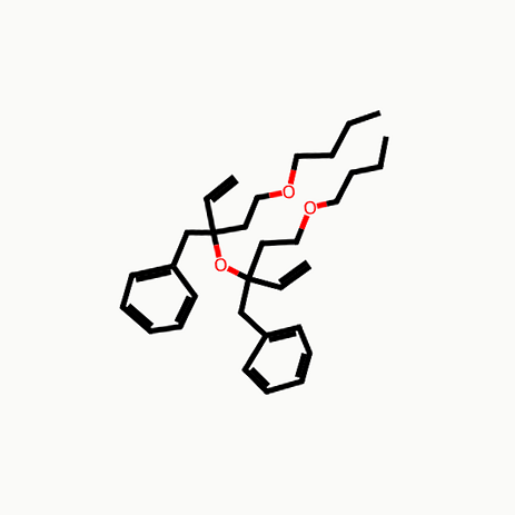 C=CC(CCOCCCC)(Cc1ccccc1)OC(C=C)(CCOCCCC)Cc1ccccc1